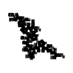 CC[C@H](C)[C@H](NC(=O)[C@@H]1CCCN1C(=O)[C@@H](NC(=O)[C@@H]1CCCN1C(=O)[C@@H](NC(=O)[C@H](CO)NC(=O)[C@H](Cc1c[nH]cn1)NC(=O)[C@@H]1CCCN1C(=O)[C@@H](N)CCCNC(=N)N)[C@@H](C)CC)[C@@H](C)O)C(=O)N[C@@H](CC(C)C)C(=O)O